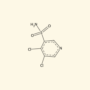 NS(=O)(=O)c1cncc(Cl)c1Cl